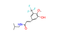 COc1c(O)cc(/C=C/C(=O)NCC(C)C)cc1C(F)(F)F